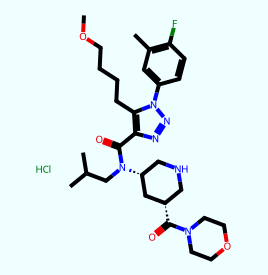 COCCCCc1c(C(=O)N(CC(C)C)[C@@H]2CNC[C@H](C(=O)N3CCOCC3)C2)nnn1-c1ccc(F)c(C)c1.Cl